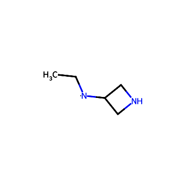 CC[N]C1CNC1